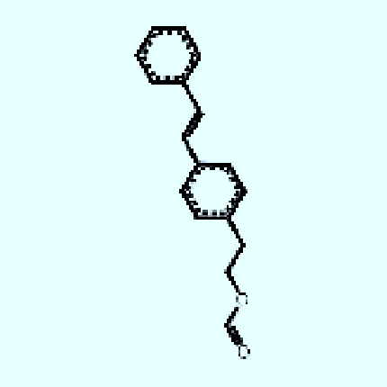 O=COCCc1ccc(C=Cc2ccccc2)cc1